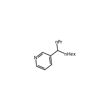 CCCCCCC(CCC)c1cccnc1